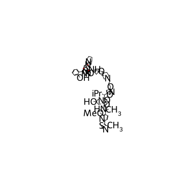 COc1nc(-c2scnc2C)ccc1[C@H](C)NC(=O)[C@@H]1C[C@@H](O)CN1C(=O)[C@H](c1cc(OCCN2CCC(O[C@H]3C[C@H](Oc4cc(N5C6CCC5CN(c5cc(-c7ccccc7O)nnc5N)C6)ccn4)C3)CC2)no1)C(C)C